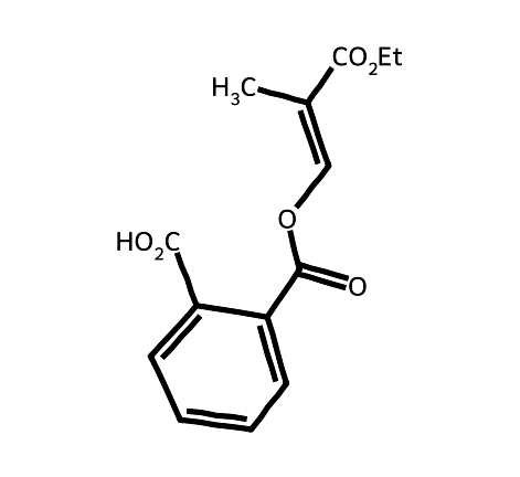 CCOC(=O)C(C)=COC(=O)c1ccccc1C(=O)O